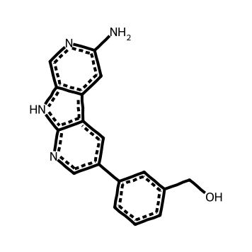 Nc1cc2c(cn1)[nH]c1ncc(-c3cccc(CO)c3)cc12